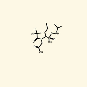 CCSC(N(CC(=O)O)C(=O)C(F)(F)F)P(=O)(O)ONC(C)C